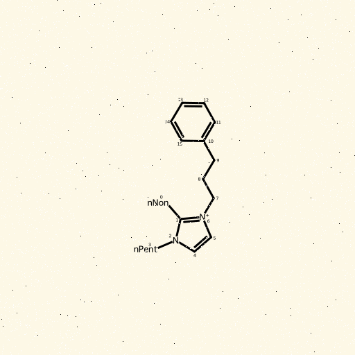 CCCCCCCCCc1n(CCCCC)cc[n+]1CCCc1ccccc1